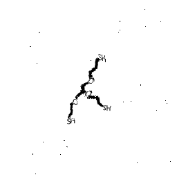 SCCCOCC(COCCCS)OCCCS